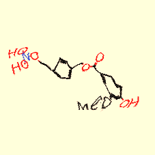 COc1cc(C(=O)OCc2ccc(CON(O)O)cc2)ccc1O